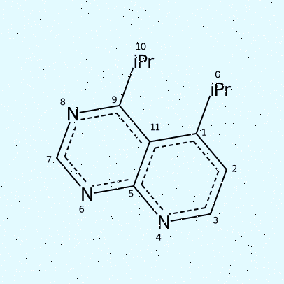 CC(C)c1ccnc2ncnc(C(C)C)c12